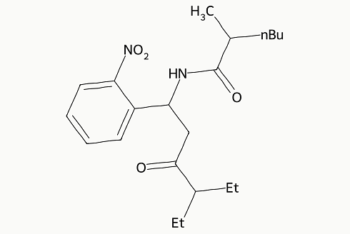 CCCCC(C)C(=O)NC(CC(=O)C(CC)CC)c1ccccc1[N+](=O)[O-]